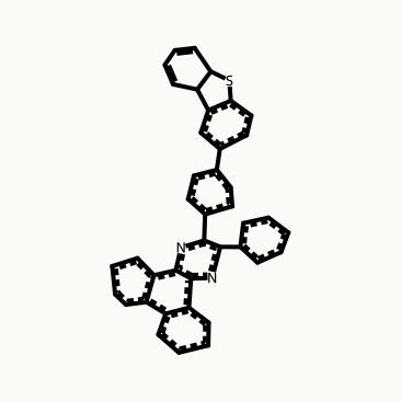 C1=CC2Sc3ccc(-c4ccc(-c5nc6c7ccccc7c7ccccc7c6nc5-c5ccccc5)cc4)cc3C2C=C1